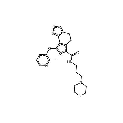 Cc1ncccc1Oc1sc(C(=O)NCCCN2CCOCC2)c2c1-c1sncc1CC2